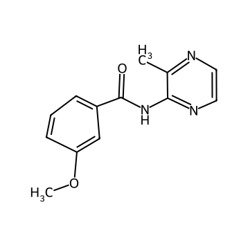 COc1cccc(C(=O)Nc2nccnc2C)c1